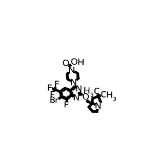 CC1(C)CN2CCCC2(COc2nc(N3CCN(C(=O)O)CC3)c3cc(C(F)(F)F)c(Br)c(F)c3n2)C1